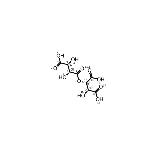 O=C(O)[C@@H](O)[C@H](O)C(=O)O[C@H](C(=O)O)[C@H](O)C(=O)O